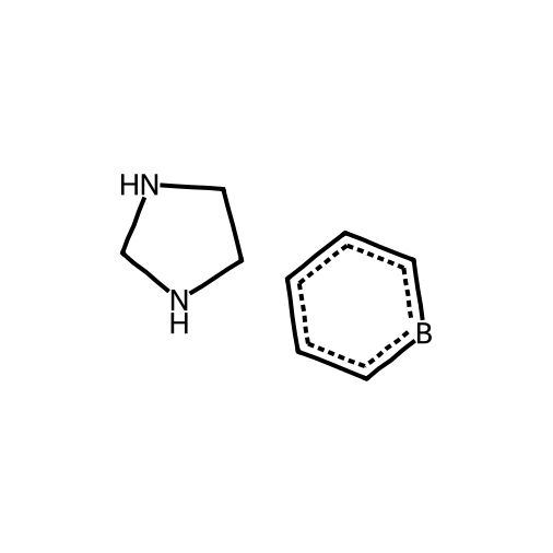 C1CNCN1.b1ccccc1